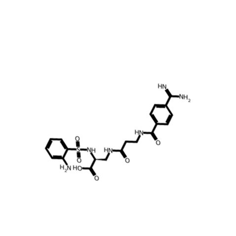 N=C(N)c1ccc(C(=O)NCCC(=O)NC[C@H](NS(=O)(=O)c2ccccc2N)C(=O)O)cc1